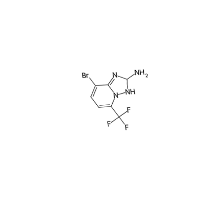 NC1N=C2C(Br)=CC=C(C(F)(F)F)N2N1